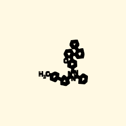 Cc1ccc(-c2cccc(-c3nc(-c4ccccc4)nc(-c4ccc5c(c4)oc4cccc(-c6ccccc6-c6ccccc6)c45)n3)c2)cc1